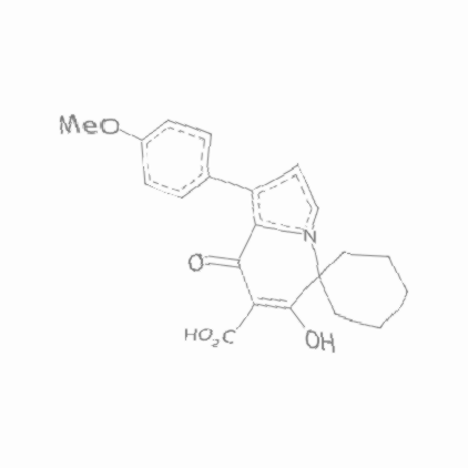 COc1ccc(-c2ccn3c2C(=O)C(C(=O)O)=C(O)C32CCCCC2)cc1